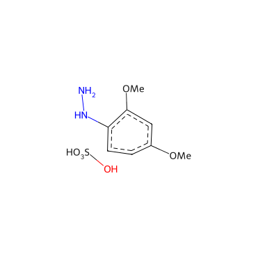 COc1ccc(NN)c(OC)c1.O=S(=O)(O)O